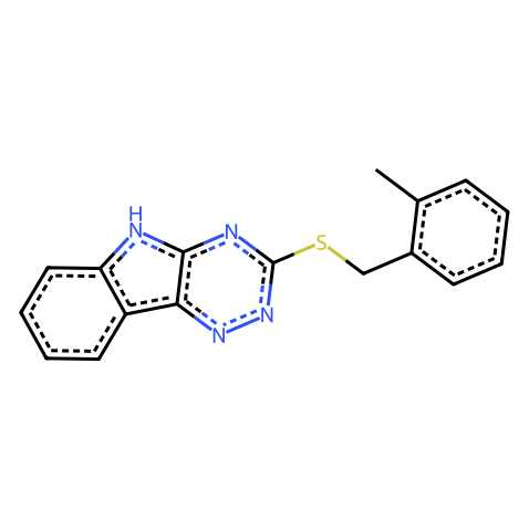 Cc1ccccc1CSc1nnc2c(n1)[nH]c1ccccc12